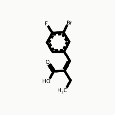 CCC(=Cc1ccc(F)c(Br)c1)C(=O)O